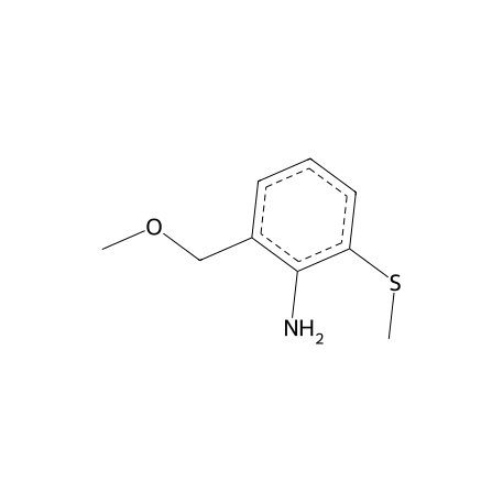 COCc1cccc(SC)c1N